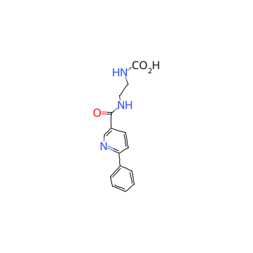 O=C(O)NCCNC(=O)c1ccc(-c2ccccc2)nc1